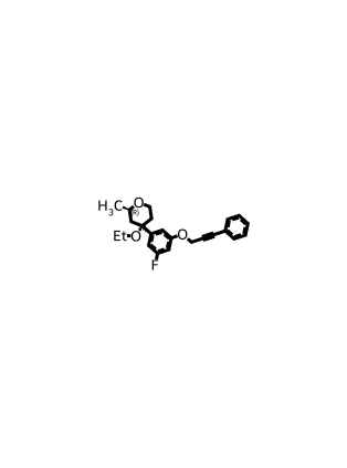 CCO[C@]1(c2cc(F)cc(OCC#Cc3ccccc3)c2)CCO[C@H](C)C1